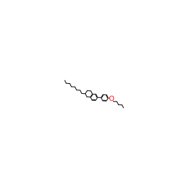 CCCCCCCCC1CCc2cc(-c3ccc(OCCCCC)cc3)ccc2C1